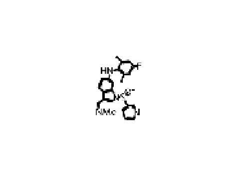 CNCc1cn([S+]([O-])c2cccnc2)c2cc(Nc3c(C)cc(F)cc3C)ccc12